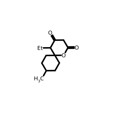 CCC1C(=O)CC(=O)OC12CCC(C)CC2